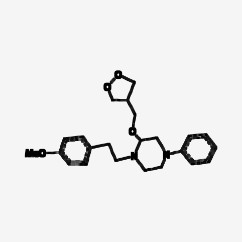 COc1ccc(CCN2CCN(c3ccccc3)CC2OCC2COOC2)cc1